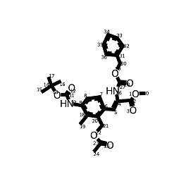 COC(=O)/C(=C/c1ccc(NC(=O)OC(C)(C)C)c(C)c1COC(C)=O)NC(=O)OCc1ccccc1